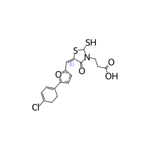 O=C(O)CCN1C(=O)/C(=C\c2ccc(C3=CC=C(Cl)CC3)o2)SC1S